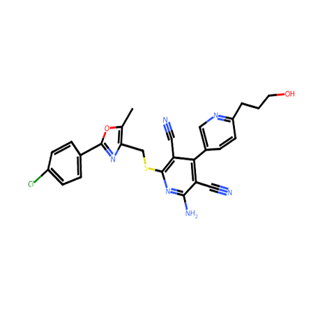 Cc1oc(-c2ccc(Cl)cc2)nc1CSc1nc(N)c(C#N)c(-c2ccc(CCCO)nc2)c1C#N